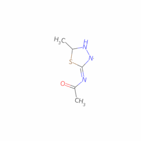 CC(=O)N=C1[N]NC(C)S1